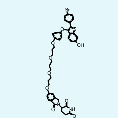 O=C1CCC(N2Cc3cc(OCCCOCCCOCCCOc4ccc(Oc5c(-c6ccc(Br)cc6)sc6cc(O)ccc56)cc4)ccc3C2=O)C(=O)N1